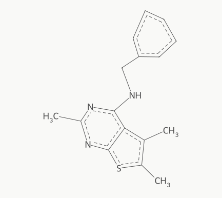 Cc1nc(NCc2ccccc2)c2c(C)c(C)sc2n1